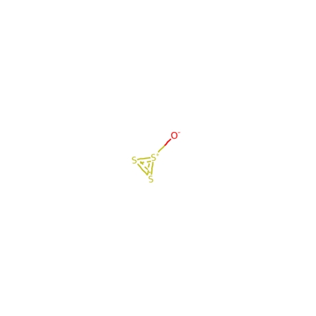 [O-][s+]1ss1